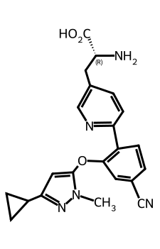 Cn1nc(C2CC2)cc1Oc1cc(C#N)ccc1-c1ccc(C[C@@H](N)C(=O)O)cn1